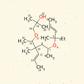 CC=CC(C)(CC)OC(C)CC(C)(C=CC)C(C)OCC(C)(C)O